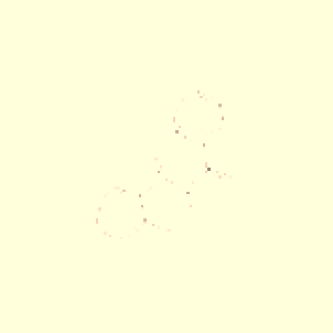 CC(=O)C(C(=O)c1ccccc1)C(=O)c1ccccc1[N+](=O)[O-]